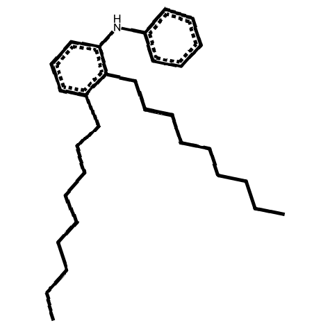 CCCCCCCCCc1cccc(Nc2ccccc2)c1CCCCCCCCC